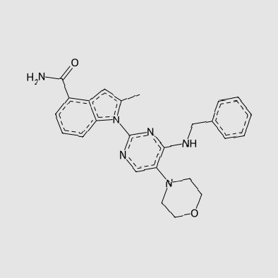 Cc1cc2c(C(N)=O)cccc2n1-c1ncc(N2CCOCC2)c(NCc2ccccc2)n1